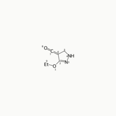 CCOC1=NNCC1=C=O